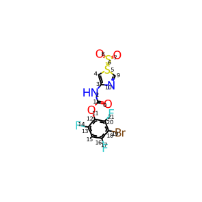 O=C(NC1=CS(=S(=O)=O)C=N1)Oc1c(F)cc(F)c(Br)c1F